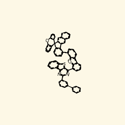 c1ccc(-c2cccc(-c3nc(-c4cccc5c4oc4c(-c6cccc7c6-c6cc8ccccc8cc6C76c7ccccc7Oc7ccccc76)cccc45)c4sc5ccccc5c4n3)c2)cc1